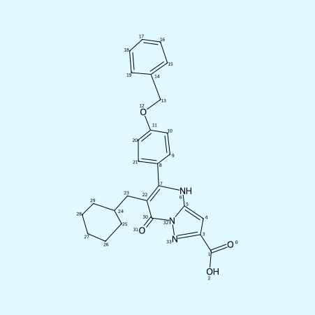 O=C(O)c1cc2[nH]c(-c3ccc(OCc4ccccc4)cc3)c(CC3CCCCC3)c(=O)n2n1